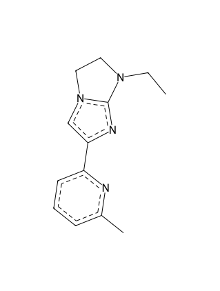 CCN1CCn2cc(-c3cccc(C)n3)nc21